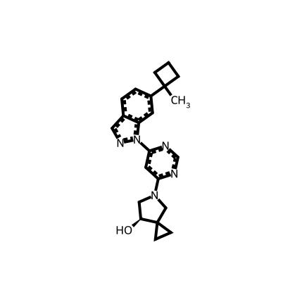 CC1(c2ccc3cnn(-c4cc(N5C[C@H](O)C6(CC6)C5)ncn4)c3c2)CCC1